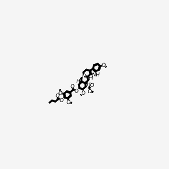 CCCC(=O)Oc1c(OC)cc(C(=O)O[C@@H]2C[C@@H]3CN4CCc5c([nH]c6cc(OC)ccc56)[C@H]4C[C@@H]3[C@H](C(=O)OC)[C@H]2OC)cc1OC